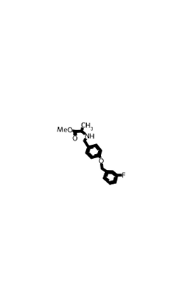 COC(=O)C(C)NCc1ccc(OCc2cccc(F)c2)cc1